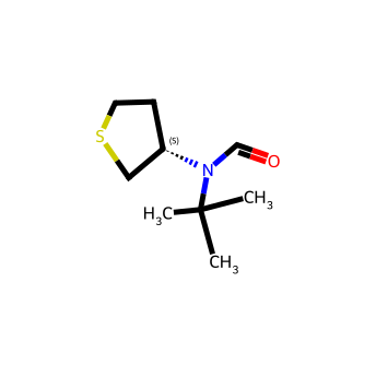 CC(C)(C)N(C=O)[C@H]1CCSC1